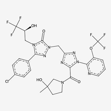 CC1(O)CCN(C(=O)c2nc(Cn3nc(-c4ccc(Cl)cc4)n(C[C@H](O)C(F)(F)F)c3=O)nn2-c2ncccc2OC(F)(F)F)C1